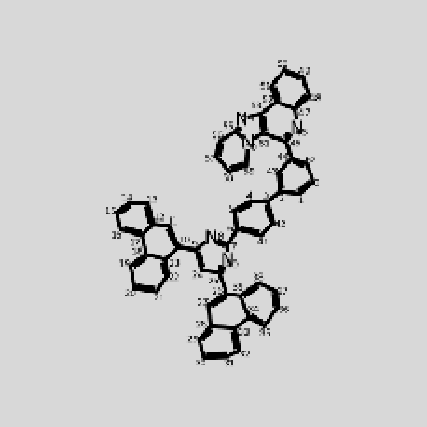 c1cc(-c2ccc(-c3nc(-c4cc5ccccc5c5ccccc45)cc(-c4cc5ccccc5c5ccccc45)n3)cc2)cc(-c2nc3ccccc3c3nc4ccccn4c23)c1